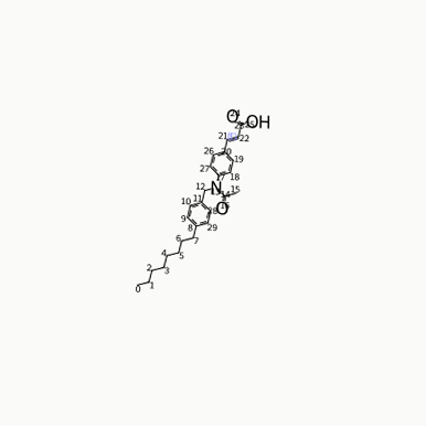 CCCCCCCCc1ccc(CN(C(C)=O)c2ccc(/C=C/C(=O)O)cc2)cc1